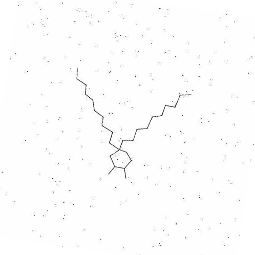 CCCCCCCCCCC1(CCCCCCCCCC)CCC(C)C(C)C1